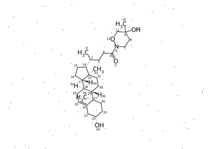 CC(CCC(=O)N1CCC(C)(O)CO1)[C@H]1CC[C@H]2[C@@H]3CC=C4C[C@@H](O)CC[C@]4(C)[C@H]3CC[C@]12C